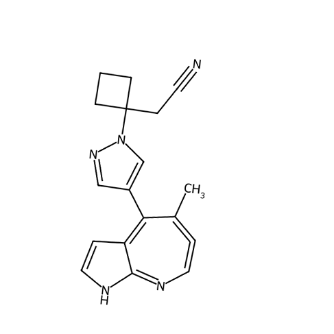 CC1=C=CN=c2[nH]ccc2=C1c1cnn(C2(CC#N)CCC2)c1